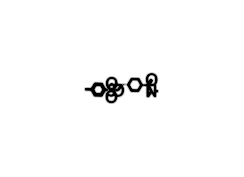 Cc1ccc(S(=O)(=O)OC[C@H]2CC[C@H](C(=O)N(C)C)CC2)cc1